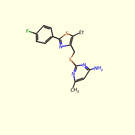 CCc1sc(-c2ccc(F)cc2)nc1CSc1nc(C)cc(N)n1